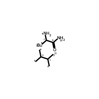 CC(C)C(C)C.CCC(C)C(N)C(N)=O